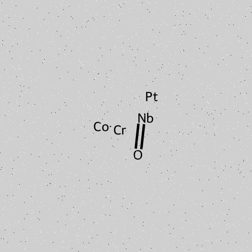 [Co].[Cr].[O]=[Nb].[Pt]